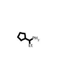 CCC(P)C1CCCC1